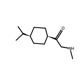 CNCC(=O)[C@H]1CC[C@@H](C(C)C)CC1